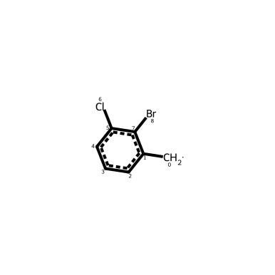 [CH2]c1cccc(Cl)c1Br